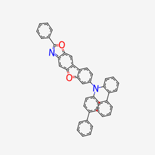 c1ccc(-c2ccc(N(c3ccc4c(c3)oc3cc5nc(-c6ccccc6)oc5cc34)c3ccccc3-c3ccccc3)cc2)cc1